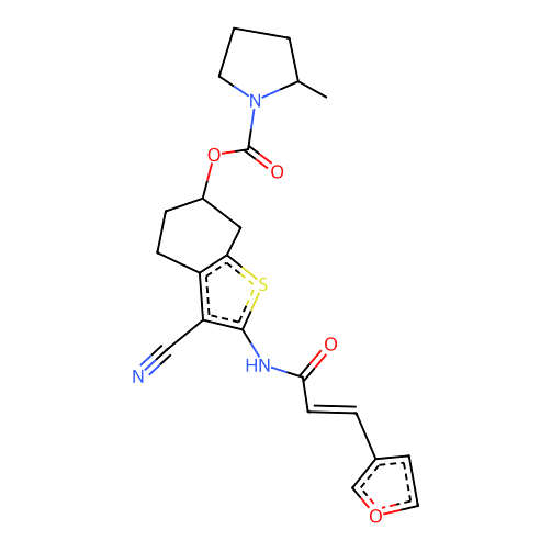 CC1CCCN1C(=O)OC1CCc2c(sc(NC(=O)C=Cc3ccoc3)c2C#N)C1